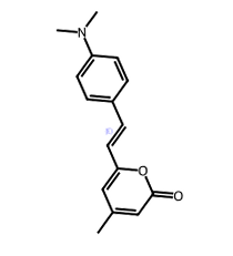 Cc1cc(/C=C/c2ccc(N(C)C)cc2)oc(=O)c1